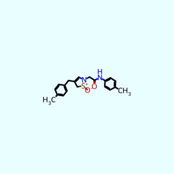 Cc1ccc(CC2=CN(CC(=O)Nc3ccc(C)cc3)[S+]([O-])C2)cc1